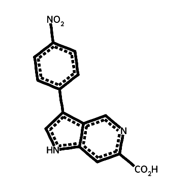 O=C(O)c1cc2[nH]cc(-c3ccc([N+](=O)[O-])cc3)c2cn1